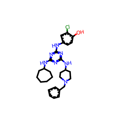 Oc1ccc(Nc2nc(NC3CCCCCC3)nc(NC3CCN(Cc4ccccc4)CC3)n2)cc1Cl